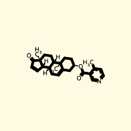 Cc1ccncc1C(=O)O[C@H]1CC[C@@]2(C)C(=CC[C@@H]3[C@@H]2CC[C@]2(C)C(=O)C=C[C@@H]32)C1